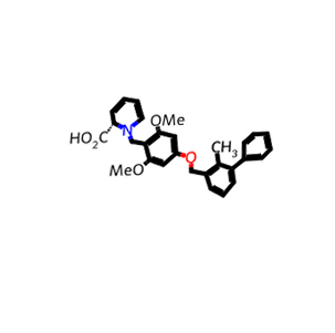 COc1cc(OCc2cccc(-c3ccccc3)c2C)cc(OC)c1CN1C=CC=C[C@H]1C(=O)O